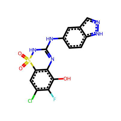 O=S1(=O)NC(Nc2ccc3[nH]ncc3c2)=Nc2c1cc(Cl)c(F)c2O